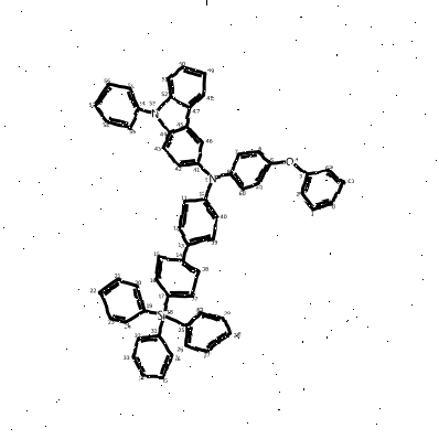 c1ccc(Oc2ccc(N(c3ccc(-c4ccc([Si](c5ccccc5)(c5ccccc5)c5ccccc5)cc4)cc3)c3ccc4c(c3)c3ccccc3n4-c3ccccc3)cc2)cc1